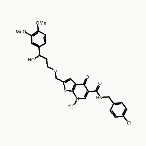 COc1ccc(C(O)CCOCc2cc3c(=O)c(C(=O)NCc4ccc(Cl)cc4)cn(C)c3s2)cc1OC